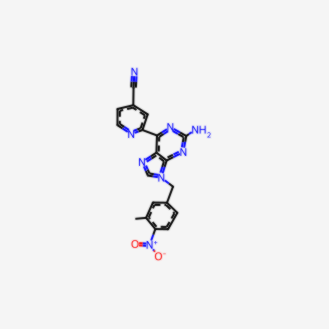 Cc1cc(Cn2cnc3c(-c4cc(C#N)ccn4)nc(N)nc32)ccc1[N+](=O)[O-]